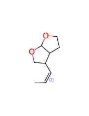 C/C=C\C1COC2OCCC12